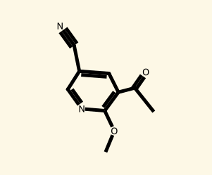 COc1ncc(C#N)cc1C(C)=O